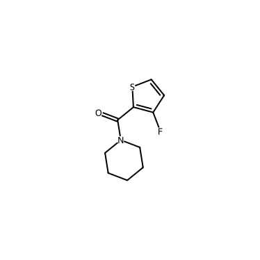 O=C(c1sccc1F)N1CCCCC1